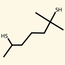 CC(S)CCCC(C)(C)S